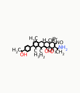 C=C(N)C1=C(N=O)[C@@H](C(C)C)[C@]2(C)C[C@@H]3Cc4c(C)cc(-c5ccc(C(=C)O)cc5)c(C)c4C(=C)C3=C(O)[C@]2(C)C1=O